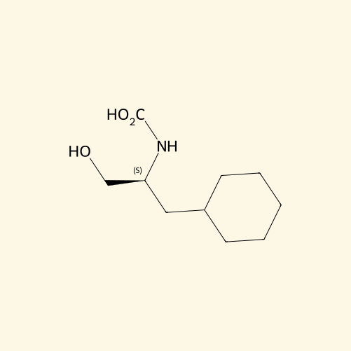 O=C(O)N[C@H](CO)CC1CCCCC1